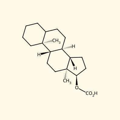 C[C@]12CC[C@H]3[C@@H](CCC4CCCC[C@@]43C)[C@@H]1CC[C@H]2OC(=O)O